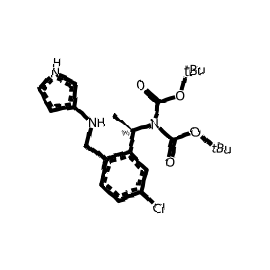 C[C@H](c1cc(Cl)ccc1CNc1cc[nH]c1)N(C(=O)OC(C)(C)C)C(=O)OC(C)(C)C